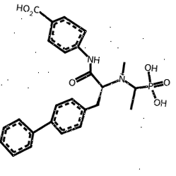 CC(N(C)[C@@H](Cc1ccc(-c2ccccc2)cc1)C(=O)Nc1ccc(C(=O)O)cc1)P(=O)(O)O